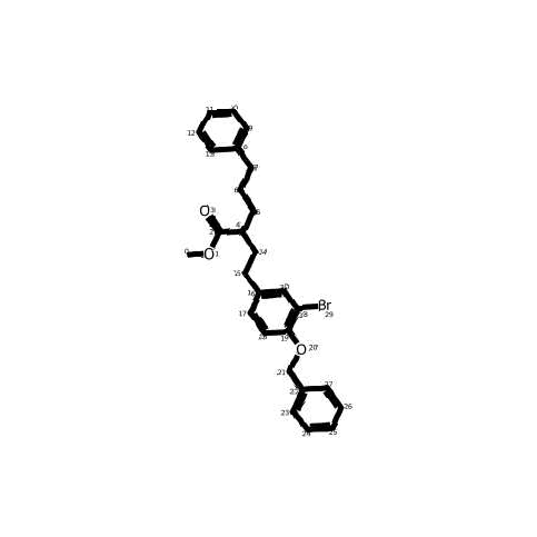 COC(=O)C(CCCc1ccccc1)CCc1ccc(OCc2ccccc2)c(Br)c1